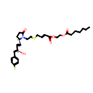 CCCCCCC(=O)OCCOC(=O)CCCSCCN1C(=O)CC[C@@H]1/C=C/[C@@H](O)Cc1ccc(F)cc1